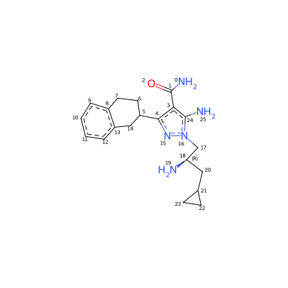 NC(=O)c1c(C2CCc3ccccc3C2)nn(C[C@H](N)CC2CC2)c1N